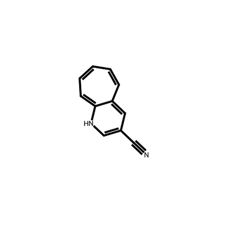 N#CC1=CNC2=CC=CC=CC2=C1